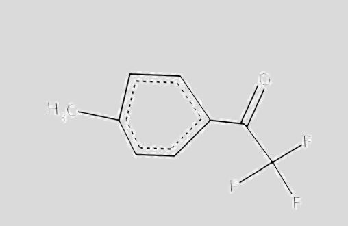 Cc1ccc(C(=O)C(F)(F)F)cc1